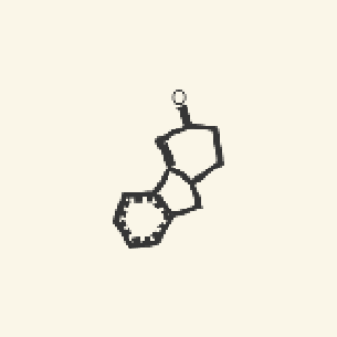 O=C1C=C2c3ccccc3CC2CC1